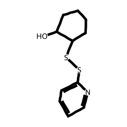 OC1CCCCC1SSc1ccccn1